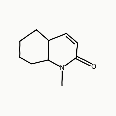 CN1C(=O)C=CC2CCCCC21